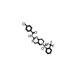 O=C(NC1=NCC2=CN(S(=O)(=O)c3ccccc3C(F)(F)F)CCC2=N1)c1ccc(Cl)cc1